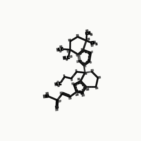 CCCCC1(c2ccc3c(c2)C(C)(C)CCC3(C)C)CCCc2oc(C=CC(=O)O)cc21